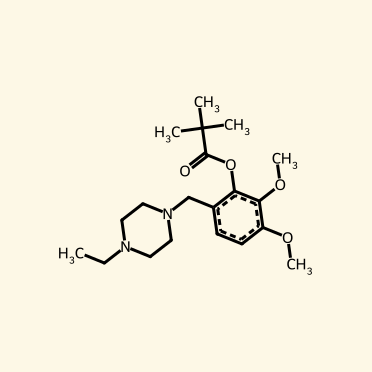 CCN1CCN(Cc2ccc(OC)c(OC)c2OC(=O)C(C)(C)C)CC1